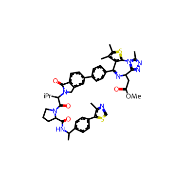 COC(=O)CC1N=C(c2ccc(-c3ccc4c(c3)CN(C(C(=O)N3CCCC3C(=O)NC(C)c3ccc(-c5scnc5C)cc3)C(C)C)C4=O)cc2)c2c(sc(C)c2C)-n2c(C)nnc21